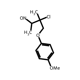 COc1ccc(OCC(C)(Cl)C(C)N=O)cc1